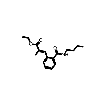 CCCCNC(=O)c1ccccc1/C=C(\C)C(=O)OCC